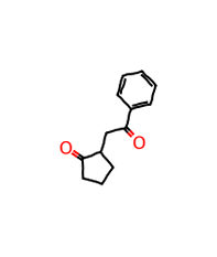 O=C(CC1CCCC1=O)c1ccccc1